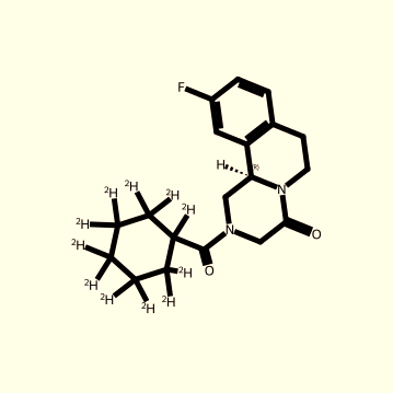 [2H]C1([2H])C([2H])([2H])C([2H])([2H])C([2H])(C(=O)N2CC(=O)N3CCc4ccc(F)cc4[C@@H]3C2)C([2H])([2H])C1([2H])[2H]